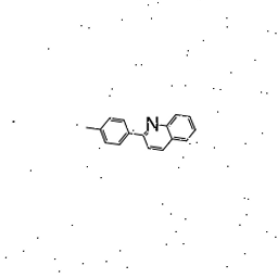 Cc1ccc(-c2ccc3ccccc3n2)cc1